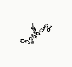 O=C(NS(=O)(=O)c1ccc(NCCN2CCOCC2)c([N+](=O)[O-])c1)c1ccc(N2CCC3(CC2)CC(N2CCC[C@H]2c2ccccc2C2CC2)C3)cc1Oc1cnc2[nH]ccc2c1